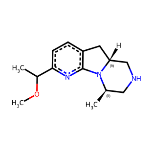 COC(C)c1ccc2c(n1)N1[C@@H](CNC[C@H]1C)C2